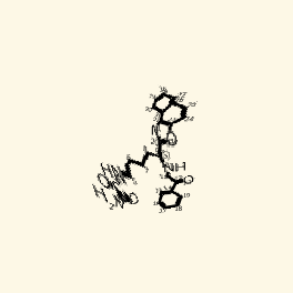 NS(=O)(=O)NCCCC[C@H](NCC(=O)c1ccccc1)c1nc2c(ccc3ccccc32)o1